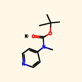 CN(C(=O)OC(C)(C)C)c1ccncc1.[K]